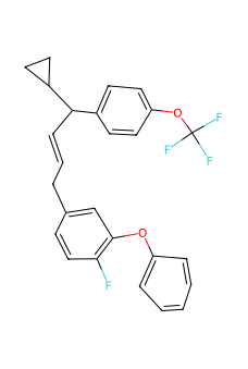 Fc1ccc(CC=CC(c2ccc(OC(F)(F)F)cc2)C2CC2)cc1Oc1ccccc1